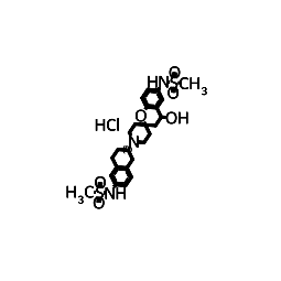 CS(=O)(=O)Nc1ccc2c(c1)CC[C@@H](N1CCC3(CC1)CC(O)c1cc(NS(C)(=O)=O)ccc1O3)C2.Cl